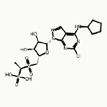 C[C@H](P(=O)(O)O)S(=O)(=O)C[C@H]1O[C@@H](n2ncc3c(NC4CCCC4)nc(Cl)nc32)[C@H](O)[C@@H]1O